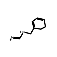 CN=CNCC1=CC=CCC1